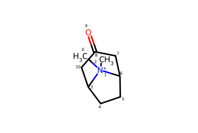 C[N+]1(C)C2CCC1CC(=O)C2